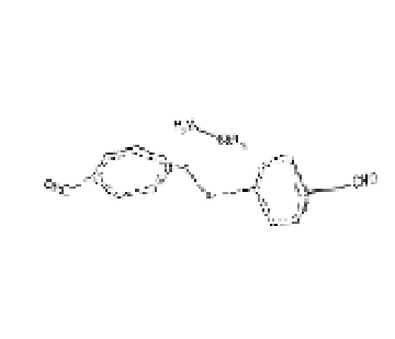 NN.O=Cc1ccc(SSc2ccc(C=O)cc2)cc1